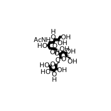 CC(=O)N[C@H]1[C@H]([C@H](O)[C@H](O)CO)O[C@](O)(CO[C@H]2[C@@H](OC[C@H]3O[C@@H](O)[C@H](O)[C@@H](O)[C@@H]3O)O[C@H](CO)[C@H](O)[C@@H]2O)C[C@@H]1O